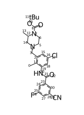 Cc1c(CN2CCN(C(=O)OC(C)(C)C)C(C)C2)cc(Cl)cc1NC(=O)c1cc(F)cc(C#N)c1